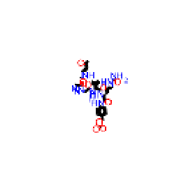 COC(=O)OCc1ccc(NC(=O)[C@H](CCCNC(N)=O)NC(=O)[C@@H](NC(=O)CN2N=NCC2OCNCCC(C)=O)C(C)C)cc1